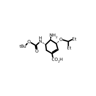 CCC(CC)O[C@@H]1C=C(C(=O)O)C[C@H](NC(=O)OC(C)(C)C)[C@H]1N